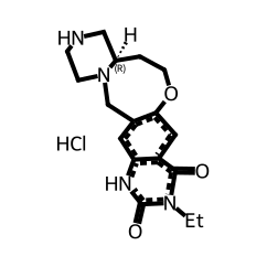 CCn1c(=O)[nH]c2cc3c(cc2c1=O)OCC[C@@H]1CNCCN1C3.Cl